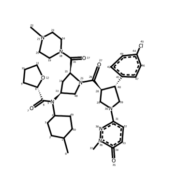 CC1CCC(N(C(=O)[C@@H]2CCCO2)[C@H]2C[C@@H](C(=O)N3CCN(C)CC3)N(C(=O)[C@@H]3CN(c4ccc(=O)n(C)n4)C[C@H]3c3ccc(Cl)cc3)C2)CC1